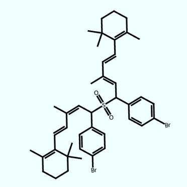 CC(C=CC1=C(C)CCCC1(C)C)=CC(c1ccc(Br)cc1)S(=O)(=O)C(C=C(C)C=CC1=C(C)CCCC1(C)C)c1ccc(Br)cc1